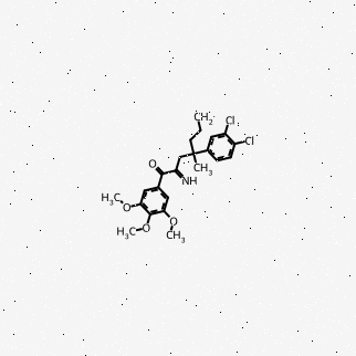 [CH2]CCC(C)(CC(=N)C(=O)c1cc(OC)c(OC)c(OC)c1)c1ccc(Cl)c(Cl)c1